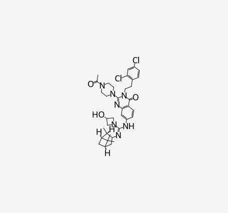 CC(=O)N1CCN(c2nc3cc(N/C(=N/C4C[C@@H]5C[C@H]([C@@H]4C)C5(C)C)N4CC(O)C4)ccc3c(=O)n2CCc2ccc(Cl)cc2Cl)CC1